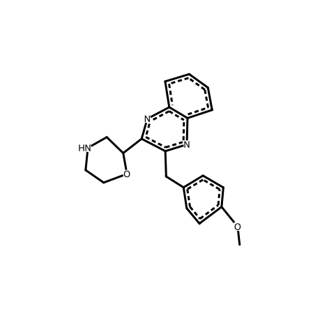 COc1ccc(Cc2nc3ccccc3nc2C2CNCCO2)cc1